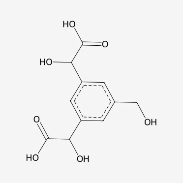 O=C(O)C(O)c1cc(CO)cc(C(O)C(=O)O)c1